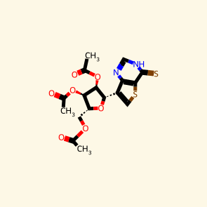 CC(=O)OC[C@H]1O[C@@H](c2csc3c(=S)[nH]cnc23)[C@H](OC(C)=O)[C@@H]1OC(C)=O